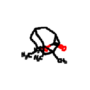 CC12CC3CC(CC(C)(C1)C3(C)C)C(=O)O2